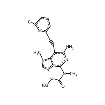 CN(C(=O)OC(C)(C)C)c1nc(N)c(C#Cc2cccc(Cl)n2)c2c1ncn2C